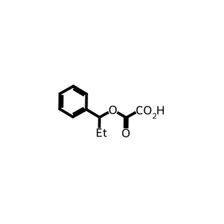 CCC(OC(=O)C(=O)O)c1ccccc1